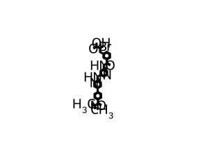 CN(C)C(=O)c1ccc(-c2ccc(Nc3cncc(NC(=O)c4cccc(CC(Br)C(=O)O)c4)c3)nc2)cc1